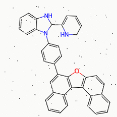 C1=CCNC(C2Nc3ccccc3N2c2ccc(-c3cc4ccccc4c4c3oc3ccc5ccccc5c34)cc2)=C1